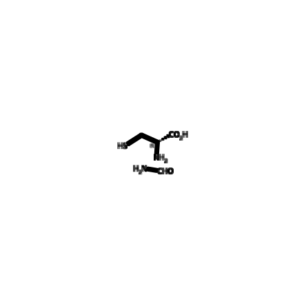 NC=O.N[C@H](CS)C(=O)O